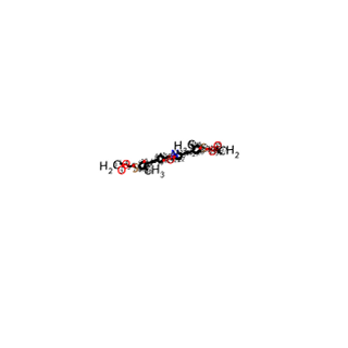 C=CC(=O)OCCSc1ccc(C#Cc2ccc(COc3ccc(C#Cc4ccc(SCCOC(=O)C=C)cc4C)cn3)cc2)c(C)c1